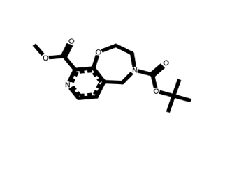 COC(=O)c1nccc2c1OCCN(C(=O)OC(C)(C)C)C2